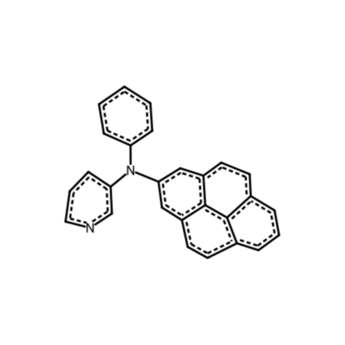 c1ccc(N(c2cccnc2)c2cc3ccc4cccc5ccc(c2)c3c45)cc1